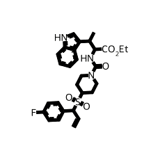 C=CC(c1ccc(F)cc1)S(=O)(=O)C1CCN(C(=O)NC(C(=O)OCC)C(C)c2c[nH]c3ccccc23)CC1